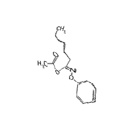 CCCCCC(=NOc1ccccc1)OC(C)=O